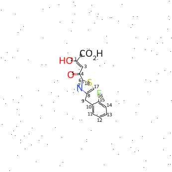 O=C(O)C(O)=CC(=O)c1nc(Cc2ccccc2F)cs1